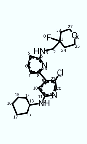 FC1(CNc2cccc(-c3cc(NC4CCCCC4)ncc3Cl)n2)CCOCC1